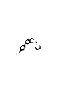 O=C(N1CCc2ccc(-c3ccc(C(F)(F)F)cc3)cc2C1)N1CCC[C@H]1CO